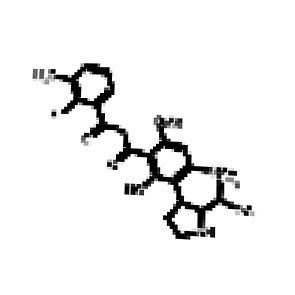 COc1cc(OC)c(C2CCNC2C(C)OC(C)=O)c(O)c1C(=O)CC(=O)c1cccc(C)c1Cl